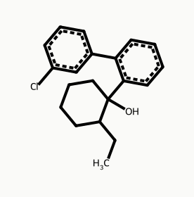 CCC1CCCCC1(O)c1ccccc1-c1cccc(Cl)c1